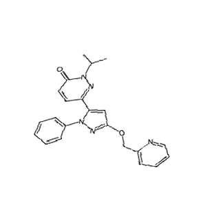 CC(C)n1nc(-c2cc(OCc3ccccn3)nn2-c2ccccc2)ccc1=O